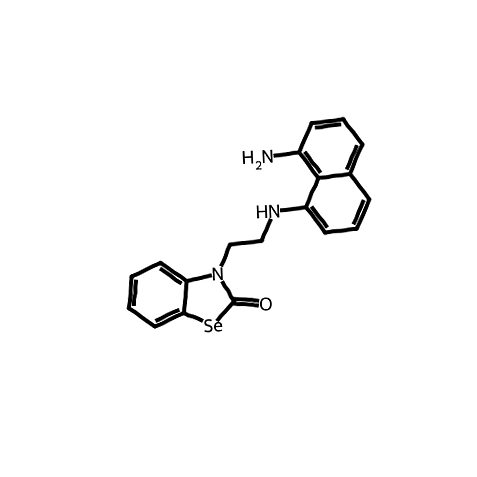 Nc1cccc2cccc(NCCn3c(=O)[se]c4ccccc43)c12